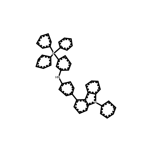 c1ccc(-n2c3ccccc3c3c(-c4ccc(Nc5cccc([Si](c6ccccc6)(c6ccccc6)c6ccccc6)c5)cc4)cccc32)cc1